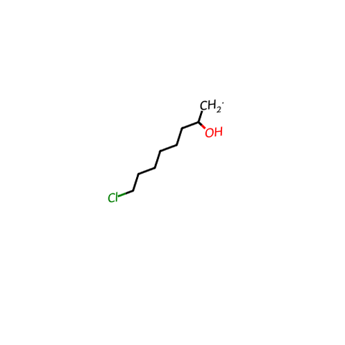 [CH2]C(O)CCCCCCCl